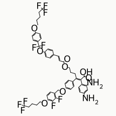 Nc1ccc(/C(C(=O)O)=C(/CCCOC(=O)/C=C/c2ccc(OC(F)(F)c3ccc(OCCCCC(F)(F)F)cc3)cc2)c2ccc(OCc3ccc(OCCCCC(F)(F)F)c(F)c3F)cc2)c(N)c1